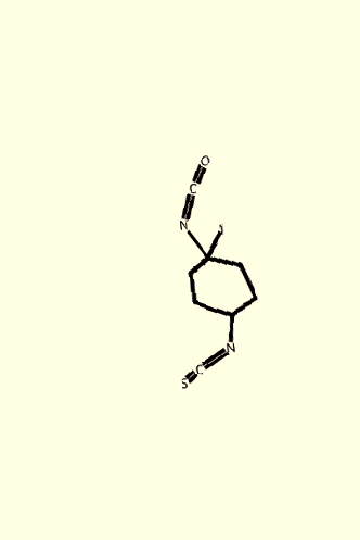 O=C=NC1(I)CCC(N=C=S)CC1